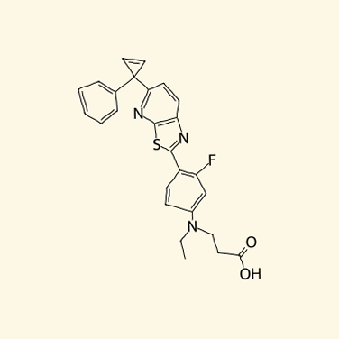 CCN(CCC(=O)O)c1ccc(-c2nc3ccc(C4(c5ccccc5)C=C4)nc3s2)c(F)c1